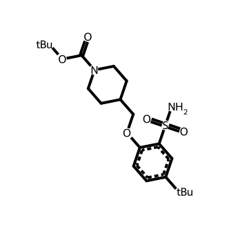 CC(C)(C)OC(=O)N1CCC(COc2ccc(C(C)(C)C)cc2S(N)(=O)=O)CC1